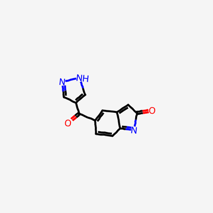 O=C1C=c2cc(C(=O)c3cn[nH]c3)ccc2=N1